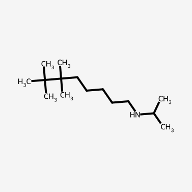 CC(C)NCCCCCC(C)(C)C(C)(C)C